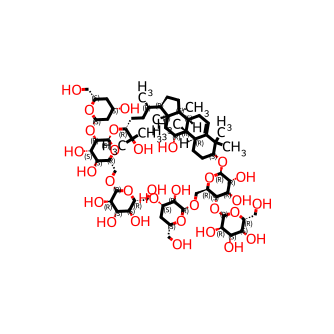 C[C@H](CC[C@@H](O[C@@H]1O[C@H](CO[C@@H]2O[C@H](CO)[C@@H](O)[C@H](O)[C@H]2O)[C@@H](O)[C@H](O)[C@H]1O[C@H]1C[C@@H](O)C[C@@H](CO)O1)C(C)(C)O)[C@H]1CC[C@@]2(C)[C@@H]3CC=C4[C@@H](CC[C@H](O[C@@H]5O[C@H](CO[C@@H]6O[C@H](CO)C[C@H](O)[C@H]6O)[C@@H](O[C@H]6O[C@H](CO)[C@@H](O)[C@H](O)[C@H]6O)[C@H](O)[C@H]5O)C4(C)C)[C@]3(C)[C@H](O)C[C@]12C